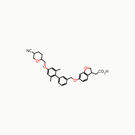 Cc1cc(OCC2CCC(C#N)CO2)cc(C)c1-c1cccc(COc2ccc3c(c2)OCC3CC(=O)O)c1